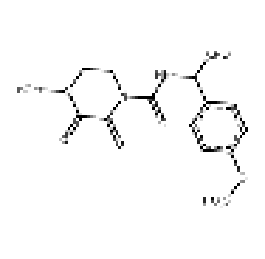 CCCCCCCCN1CCN(C(=O)NC([C]=O)c2ccc(OS(=O)(=O)O)cc2)C(=O)C1=O